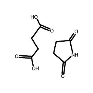 O=C(O)CCC(=O)O.O=C1CCC(=O)N1